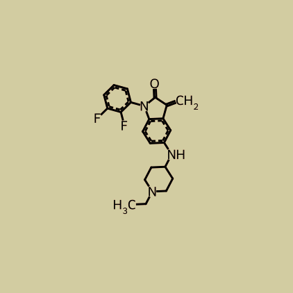 C=C1C(=O)N(c2cccc(F)c2F)c2ccc(NC3CCN(CC)CC3)cc21